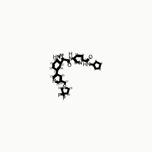 O=C(NC1CCCC1)c1ccc(NC(=O)c2n[nH]c3ccc(-c4cncc(CN5CCC(F)(F)C5)c4)cc23)cn1